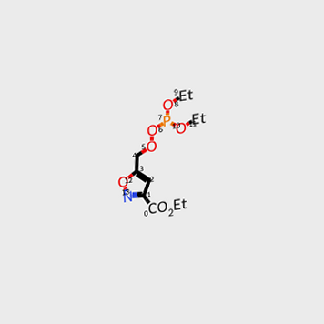 CCOC(=O)c1cc(COOP(OCC)OCC)on1